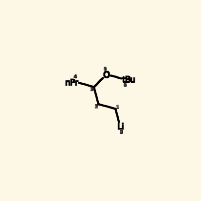 [Li][CH2]CC(CCC)OC(C)(C)C